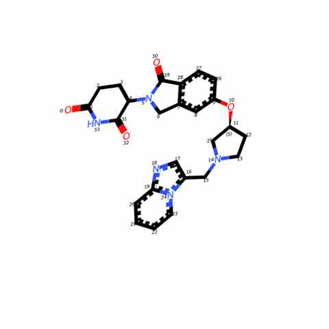 O=C1CCC(N2Cc3cc(O[C@H]4CCN(Cc5cnc6ccccn56)C4)ccc3C2=O)C(=O)N1